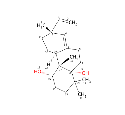 C=C[C@]1(C)C=C2CC[C@@]3(O)C(C)(C)CC[C@H](O)[C@]3(C)[C@H]2CC1